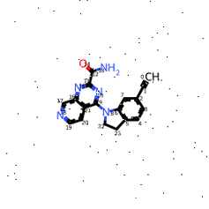 C#Cc1ccc2c(c1)N(c1nc(C(N)=O)nc3cn[c]cc13)CC2